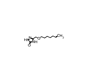 C=CCCCCCOCc1n[nH]c(=O)[nH]1